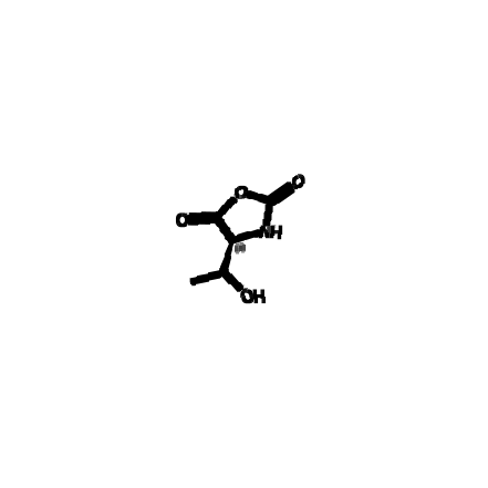 CC(O)[C@@H]1NC(=O)OC1=O